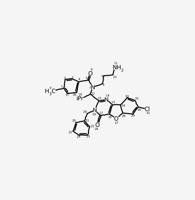 Cc1ccc(C(=O)N(CCCN)C(c2nc3c(c(=O)n2Cc2ccccc2)OC2C=C(Cl)C=CC32)C(C)C)cc1